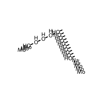 CO.CO.CO.CO.CO.CO.CO.CO.CO.CO.CO.CO.CO.CO.[Mo].[Mo].[Mo].[Mo].[Mo].[Mo].[Na].[Na]